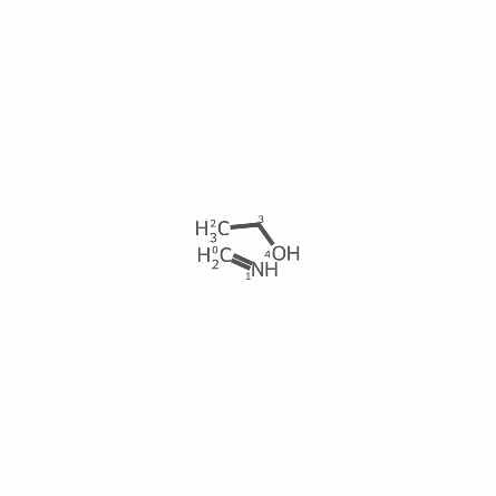 C=N.CCO